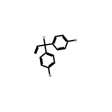 C=CC(Cl)(c1ccc(Br)cc1)c1ccc(Br)cc1